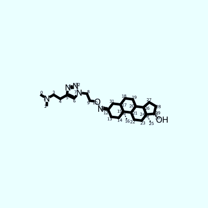 CN(C)CCc1cn(CCON=C2CC[C@@]3(C)C(CCC4C3CC[C@@]3(C)C4CC[C@@H]3O)C2)nn1